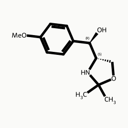 COc1ccc([C@@H](O)[C@@H]2COC(C)(C)N2)cc1